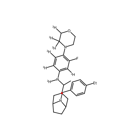 [2H]c1c([2H])c(N2CCOC([2H])C2([2H])[2H])c(F)c([2H])c1N([2H])C(C)C1CC2CCC(C1)N2Cc1ccc(CC)cc1